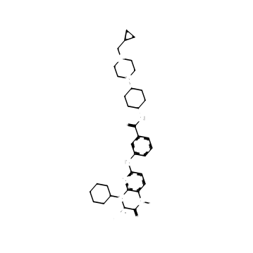 C[C@@H]1C(=O)N(C)c2ccc(Nc3cccc(C(=O)N[C@H]4CC[C@H](N5CCN(CC6CC6)CC5)CC4)c3)nc2N1C1CCCCC1